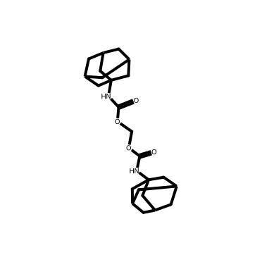 O=C(NC12CC3CC(CC(C3)C1)C2)OCOC(=O)NC12CC3CC(CC(C3)C1)C2